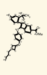 COC(=O)c1ccc2c(Oc3ccc(OC4CN(CCCF)C4)cc3)c(-c3ccc(F)cc3C(C)(F)F)sc2c1